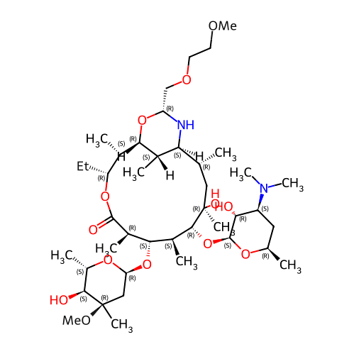 CC[C@H]1OC(=O)[C@H](C)[C@@H](O[C@H]2C[C@@](C)(OC)[C@@H](O)[C@H](C)O2)[C@H](C)[C@@H](O[C@@H]2O[C@H](C)C[C@H](N(C)C)[C@H]2O)[C@](C)(O)C[C@@H](C)[C@@H]2N[C@@H](COCCOC)O[C@@H]([C@H]1C)[C@H]2C